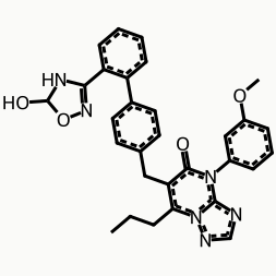 CCCc1c(Cc2ccc(-c3ccccc3C3=NOC(O)N3)cc2)c(=O)n(-c2cccc(OC)c2)c2ncnn12